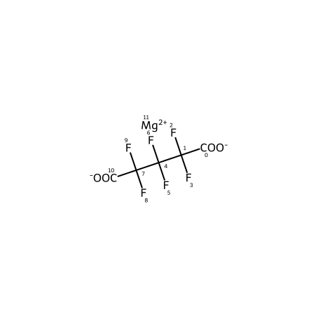 O=C([O-])C(F)(F)C(F)(F)C(F)(F)C(=O)[O-].[Mg+2]